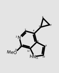 COc1ncc(C2CC2)c2cc[nH]c12